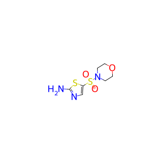 Nc1ncc(S(=O)(=O)N2CCOCC2)s1